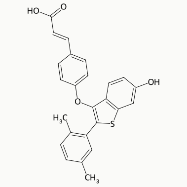 Cc1ccc(C)c(-c2sc3cc(O)ccc3c2Oc2ccc(C=CC(=O)O)cc2)c1